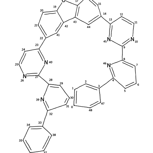 c1ccc(-c2cccc(-c3nccc(-c4ccc5oc6ccc(-c7ccnc(-c8cccc(-c9ccccc9)n8)n7)cc6c5c4)n3)n2)cc1